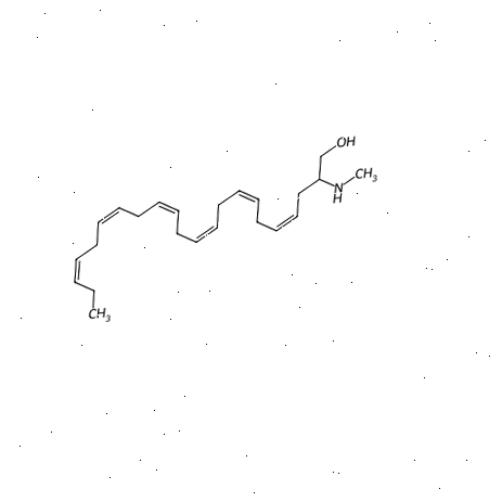 CC/C=C\C/C=C\C/C=C\C/C=C\C/C=C\C/C=C\CC(CO)NC